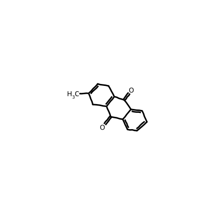 CC1=CCC2=C(C1)C(=O)c1ccccc1C2=O